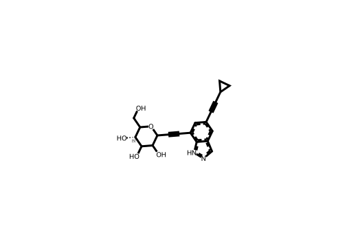 OCC1OC(C#Cc2cc(C#CC3CC3)cc3cn[nH]c23)C(O)C(O)[C@@H]1O